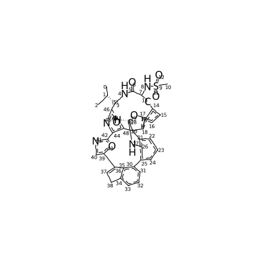 CC(C)[C@@H]1NC(=O)C(NS(C)(=O)=O)Cc2ccc3c(c2)C24c5cccc(c5N[C@H]2O3)-c2cccc3c2C(=CC3)c2cnc(o2)-c2nc1oc24